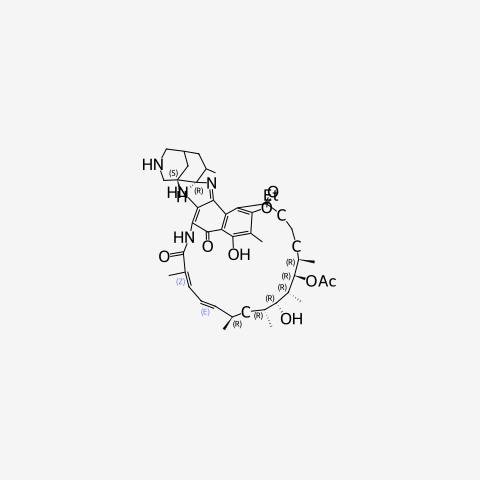 CCOc1c(C)c(O)c2c3c1C(=O)CCC[C@@H](C)[C@@H](OC(C)=O)[C@H](C)[C@H](O)[C@H](C)C[C@@H](C)/C=C/C=C(/C)C(=O)NC(=C1N[C@@]4(N=C13)C(C)CC1CNC[C@@H]4C1)C2=O